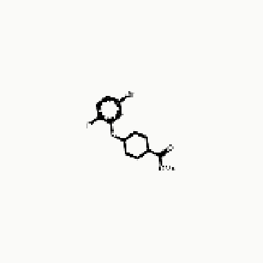 COC(=O)C1CCC(Sc2cc(Br)ccc2F)CC1